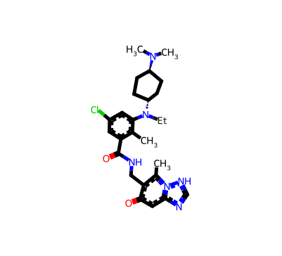 CCN(c1cc(Cl)cc(C(=O)NCc2c(C)n3[nH]cnc3cc2=O)c1C)[C@H]1CC[C@H](N(C)C)CC1